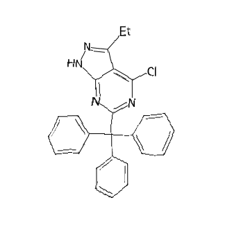 CCc1n[nH]c2nc(C(c3ccccc3)(c3ccccc3)c3ccccc3)nc(Cl)c12